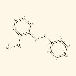 N#COc1ccccc1CCc1ccccc1